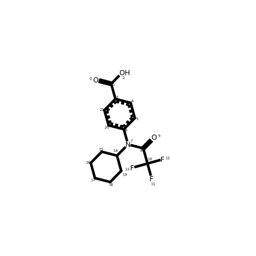 O=C(O)c1ccc(N(C(=O)C(F)(F)F)C2CCCCC2)cc1